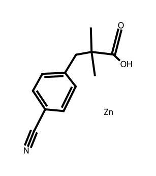 CC(C)(Cc1ccc(C#N)cc1)C(=O)O.[Zn]